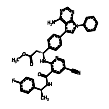 COC(=O)C[C@@H](Nc1ncc(C#N)cc1C(=O)N[C@@H](C)c1ccc(F)cc1)c1ccc(-c2cn(-c3ccccc3)c3ncnc(N)c23)cc1